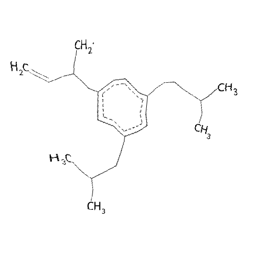 [CH2]C(C=C)c1cc(CC(C)C)cc(CC(C)C)c1